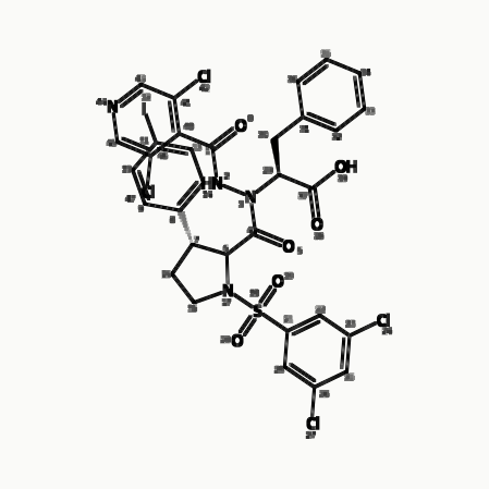 O=C(NN(C(=O)C1[C@@H](c2ccc(I)cc2)CCN1S(=O)(=O)c1cc(Cl)cc(Cl)c1)[C@@H](Cc1ccccc1)C(=O)O)c1c(Cl)cncc1Cl